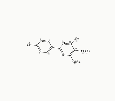 COc1nc(-c2ccc(Cl)cc2)nc(C(C)C)c1C(=O)O